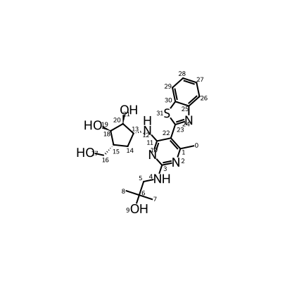 Cc1nc(NCC(C)(C)O)nc(N[C@@H]2C[C@H](CO)[C@@H](O)[C@H]2O)c1-c1nc2ccccc2s1